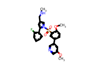 CNCc1cc(-c2ccccc2F)n(S(=O)(=O)c2cc(-c3cncc(OC)c3)ccc2OC)c1